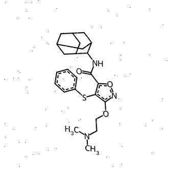 CN(C)CCOc1noc(C(=O)NC2C3CC4CC(C3)CC2C4)c1Sc1ccccc1